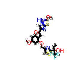 CCC(O)(c1nc(COc2cc(OC)cc3oc(-c4cn5c(n4)SC(OC)N5)cc23)cs1)C(F)(F)F